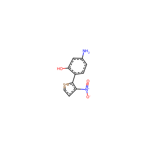 Nc1ccc(-c2sccc2[N+](=O)[O-])c(O)c1